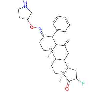 C=C1CC2C(CC[C@]3(C)C(=O)C(F)CC23)[C@@]2(C)CCC(=NOC3CCNC3)C(c3ccccc3)C12